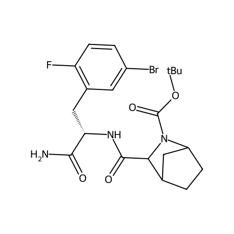 CC(C)(C)OC(=O)N1C2CCC(C2)C1C(=O)N[C@@H](Cc1cc(Br)ccc1F)C(N)=O